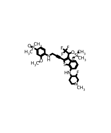 COc1cc(P(C)(C)=O)ccc1NCC#Cc1sc2c(NC3CCN(C)CC3F)cccc2c1C(O[Si](C)(C)C)C(F)(F)F